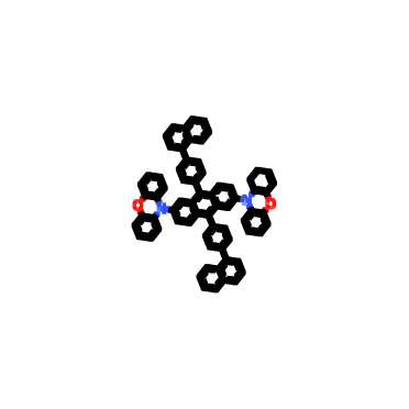 C1=CC2=C(CC1)N(c1ccc3c(-c4ccc(-c5cccc6ccccc56)cc4)c4cc(N5c6ccccc6Oc6ccccc65)ccc4c(-c4ccc(-c5cccc6ccccc56)cc4)c3c1)c1ccccc1O2